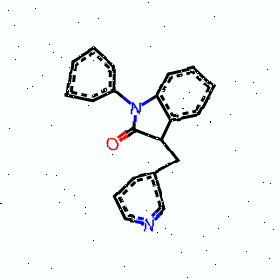 O=C1C(Cc2cccnc2)c2ccccc2N1c1ccccc1